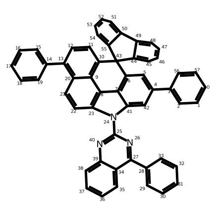 c1ccc(-c2cc3c4c5c6c(ccc(-c7ccccc7)c6ccc5n(-c5nc(-c6ccccc6)c6ccccc6n5)c4c2)C32c3ccccc3-c3ccccc32)cc1